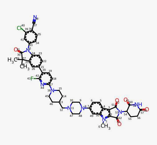 Cn1c2c(c3ccc(N4CCN(CC5CCN(c6ccc(-c7ccc8c(c7)C(C)(C)C(=O)N8c7ccc(C#N)c(Cl)c7)c(F)n6)CC5)CC4)cc31)C(=O)N(C1CCC(=O)NC1=O)C2=O